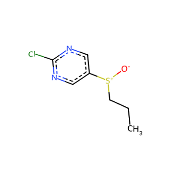 CCC[S+]([O-])c1cnc(Cl)nc1